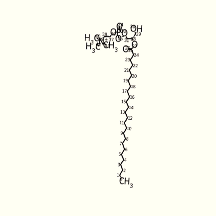 CCCCCCCCCCCCCCCCCCCCCCCCCC(=O)O[C@H](CO)COP(=O)([O-])OCC[N+](C)(C)C